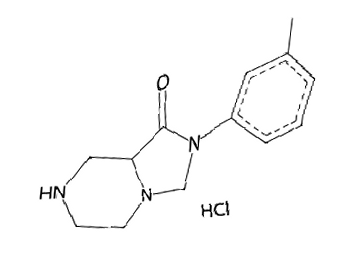 Cl.O=C1C2CNCCN2CN1c1cccc(O)c1